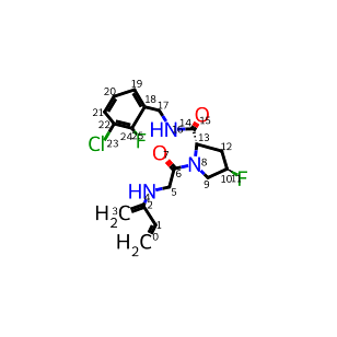 C=CC(=C)NCC(=O)N1C[C@H](F)C[C@H]1C(=O)NCc1cccc(Cl)c1F